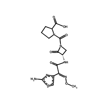 CON=C(C(=O)N[C@H]1CN(C(=O)N2CCCC2C(=O)O)C1=O)c1csc(N)n1